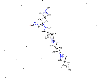 CC1CC2(C1)CN(C1CC3(C1)CN(C1CC4(C1)CN(C1(CN=O)CC5(CN(C)C5)C1)C4)C3)C2